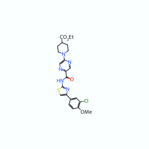 CCOC(=O)C1CCN(c2cnc(C(=O)Nc3nc(-c4ccc(OC)c(Cl)c4)cs3)cn2)CC1